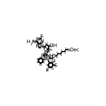 CCCCCCCCCCCCCCCCOC(=O)[C@H](Cc1cc(F)cc(F)c1)NP(=O)(OC[C@@]1(C)O[C@@H](n2cnc3c(N)nc(F)nc32)C[C@@H]1O)Oc1ccccc1